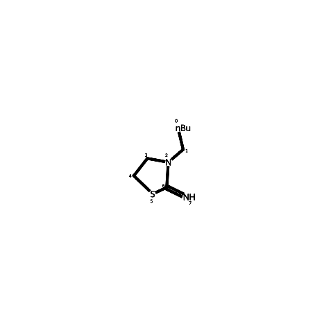 CCCCCN1CCSC1=N